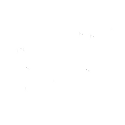 Cc1nc(N)ccc1Oc1ccnc(-c2cnn(C3COC3)c2)c1